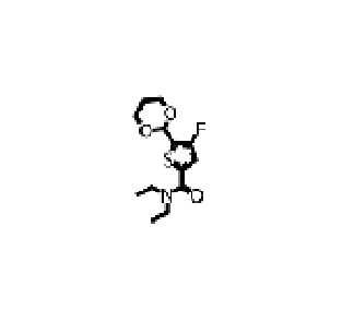 CCN(CC)C(=O)c1cc(F)c(C2OCCCO2)s1